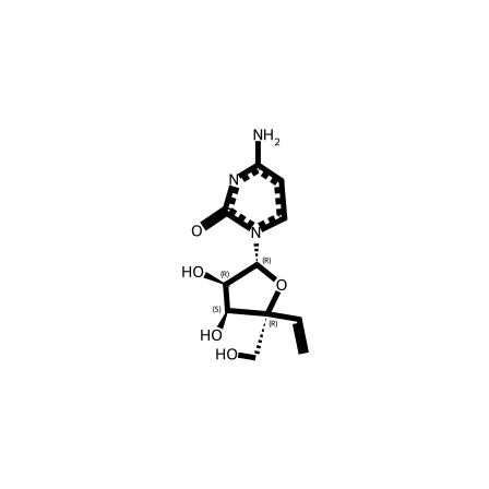 C=C[C@]1(CO)O[C@@H](n2ccc(N)nc2=O)[C@H](O)[C@@H]1O